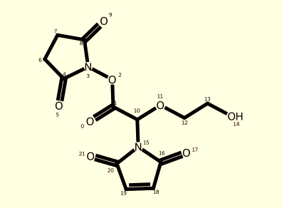 O=C(ON1C(=O)CCC1=O)C(OCCO)N1C(=O)C=CC1=O